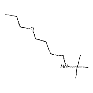 CCCOCCCCNC(C)(C)C